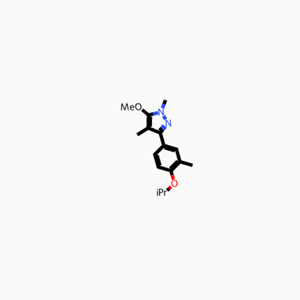 COc1c(C)c(-c2ccc(OC(C)C)c(C)c2)nn1C